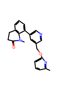 Cc1cccc(OCc2cncc(-c3cccc4c3N(C)C(=O)CC4)c2)n1